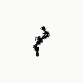 COc1ccc(C2=CN3C(=O)c4cc(OC)c(OCCCOc5cc6c(cc5OC)C(=O)N5C=C(c7ccc(NC(=O)C(C)NC(=O)C(NC(=O)CCCCCN8C(=O)C=CC8=O)C(C)C)cc7)CC5C(S(=O)(=O)O)N6)cc4N=CC3C2)cc1